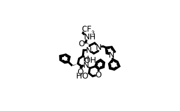 O=C(N[C@H]1c2ccccc2OC[C@H]1O)[C@H](Cc1ccccc1)C[C@H](O)CN1CCN(Cc2ccn(-c3ccccc3)c2)C[C@H]1C(=O)NCC(F)(F)F